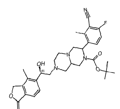 Cc1c(C2CN3CCN(C[C@H](O)c4ccc5c(c4C)COC5=O)CC3CN2C(=O)OC(C)(C)C)ccc(F)c1C#N